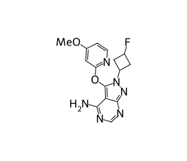 COc1ccnc(Oc2c3c(N)ncnc3nn2C2CC(F)C2)c1